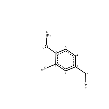 CC(C)Oc1ccc(CF)cc1F